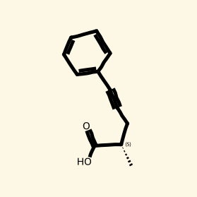 C[C@@H](CC#Cc1ccccc1)C(=O)O